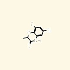 CC1Oc2c(F)cc(Cl)cc2NC1=O